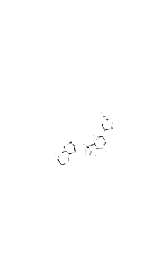 Cn1cc(-c2cc(Cl)c3nnn(Cc4ccc5ncccc5c4)c3n2)cn1